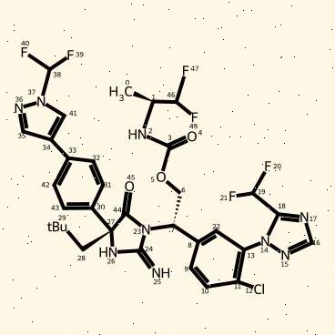 C[C@H](NC(=O)OC[C@H](c1ccc(Cl)c(-n2ncnc2C(F)F)c1)N1C(=N)N[C@](CC(C)(C)C)(c2ccc(-c3cnn(C(F)F)c3)cc2)C1=O)C(F)F